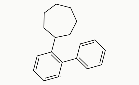 [c]1cccc(C2CCCCCC2)c1-c1ccccc1